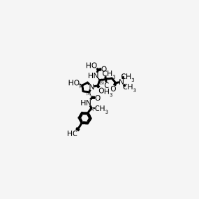 C#Cc1ccc([C@H](C)NC(=O)[C@@H]2C[C@@H](O)CN2C(=O)[C@@H](NC(=O)O)C(C)(C)CC(=O)N(C)C)cc1